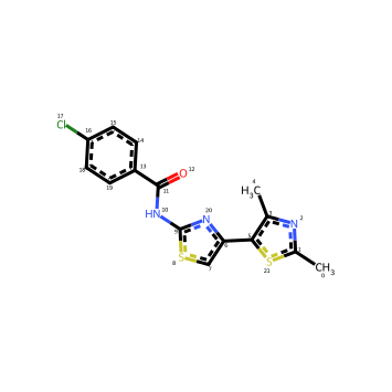 Cc1nc(C)c(-c2csc(NC(=O)c3ccc(Cl)cc3)n2)s1